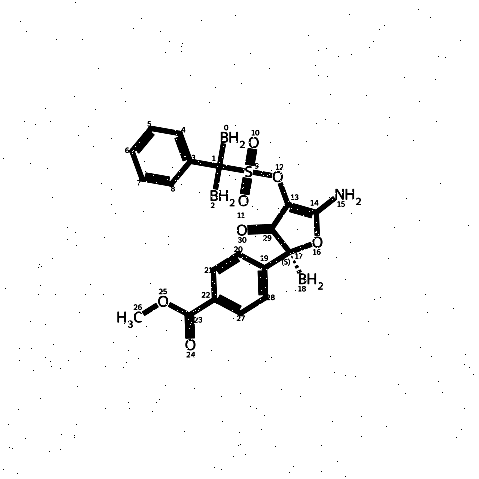 BC(B)(c1ccccc1)S(=O)(=O)OC1=C(N)O[C@@](B)(c2ccc(C(=O)OC)cc2)C1=O